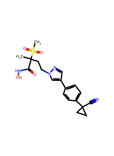 CC(CCn1cc(-c2ccc(C3(C#N)CC3)cc2)cn1)(C(=O)NO)S(C)(=O)=O